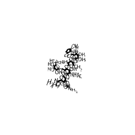 CC(=O)NC1[C@H](O[C@@H]2C(CO[C@@H]3OC(CO)[C@@H](O)[C@H](O)C3O)O[C@@H](OC3[C@@H](OC(N)=O)[C@](C)(O)C(C(N)=O)O[C@@H]3O)C(NC(C)=O)[C@H]2O)OC(C)[C@@H](O[C@@H]2OC(C(=O)NC3=C(O)CCC3=O)[C@H](O)[C@H](O)C2O)[C@@H]1C